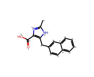 Cc1nc(C(=O)O)c(Cc2ccc3ccccc3c2)[nH]1